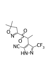 CC(c1c(C(F)(F)F)n[nH]c1C#N)S(=O)(=O)C1=NOC(C)(C)C1